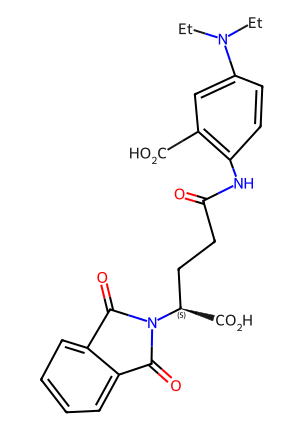 CCN(CC)c1ccc(NC(=O)CC[C@@H](C(=O)O)N2C(=O)c3ccccc3C2=O)c(C(=O)O)c1